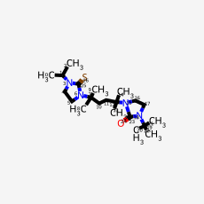 CC(C)N1CCN(C(C)(C)CCC(C)(C)N2CCN(C(C)(C)C)C2=O)C1=S